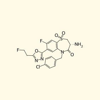 N[C@H]1CS(=O)(=O)c2cc(F)c(-c3nnc(CCF)o3)cc2N(Cc2ccc(Cl)cc2)C1=O